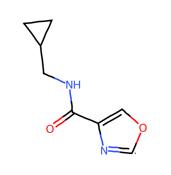 O=C(NCC1CC1)c1co[c]n1